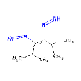 CC(C)/C(N=N)=C(/N=N)C(C)C